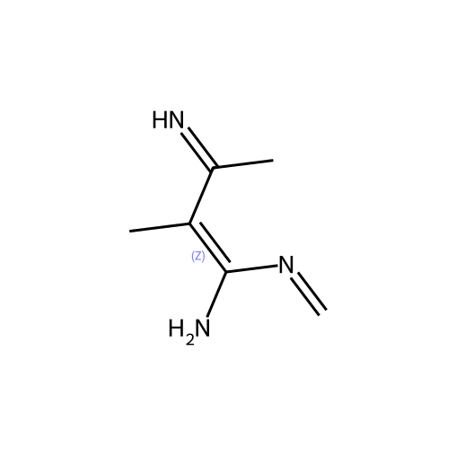 C=N/C(N)=C(/C)C(C)=N